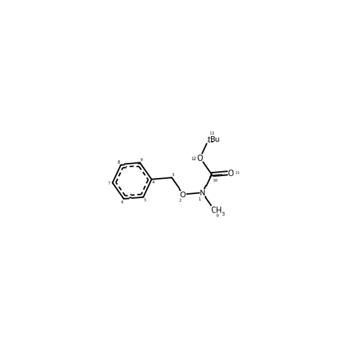 CN(OCc1ccccc1)C(=O)OC(C)(C)C